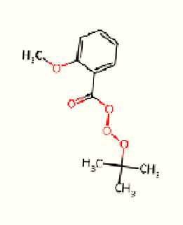 COc1ccccc1C(=O)OOOC(C)(C)C